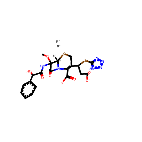 COC1(NC(=O)C(O)c2ccccc2)C(=O)N2C(C(=O)[O-])=C(C(CC(=O)[O-])Sc3nnn[nH]3)CS[C@H]21.[K+].[K+]